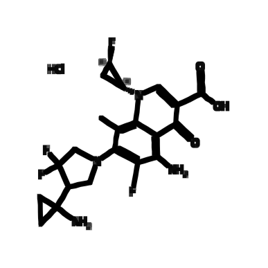 Cc1c(N2CC(C3(N)CC3)C(F)(F)C2)c(F)c(N)c2c(=O)c(C(=O)O)cn([C@@H]3C[C@H]3F)c12.Cl